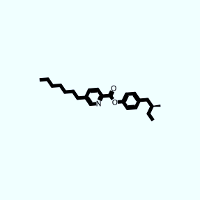 CCCCCCCc1ccc(C(=O)Oc2ccc(C[C@@H](C)CC)cc2)nc1